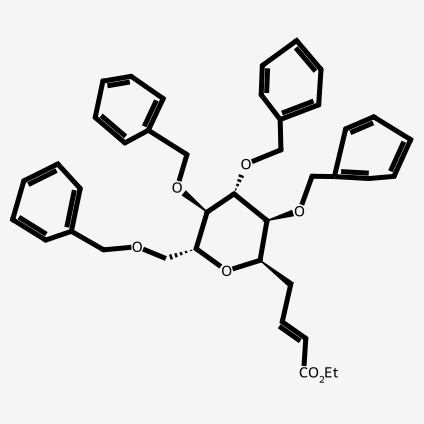 CCOC(=O)C=CC[C@H]1O[C@H](COCc2ccccc2)[C@@H](OCc2ccccc2)[C@H](OCc2ccccc2)[C@H]1OCc1ccccc1